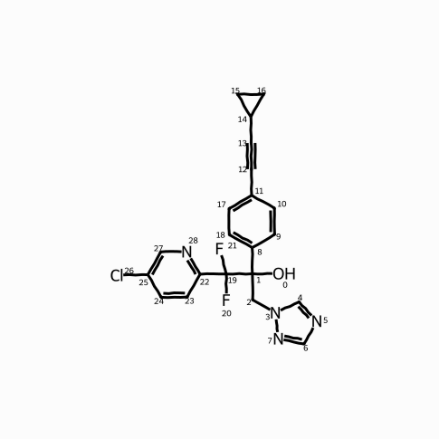 OC(Cn1cncn1)(c1ccc(C#CC2CC2)cc1)C(F)(F)c1ccc(Cl)cn1